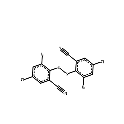 N#Cc1cc(Cl)cc(Br)c1SSc1c(Br)cc(Cl)cc1C#N